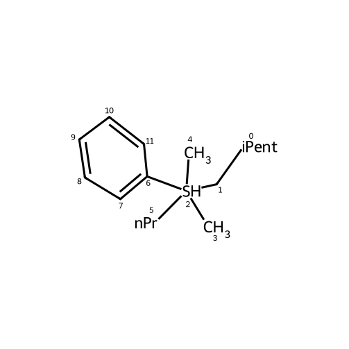 CCCC(C)C[SH](C)(C)(CCC)c1ccccc1